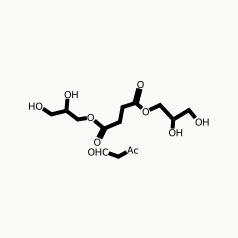 CC(=O)CC=O.O=C(CCC(=O)OCC(O)CO)OCC(O)CO